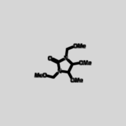 COCN1C(=O)N(COC)C(OC)C1OC